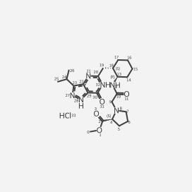 COC(=O)[C@@H]1CCCN1CC(=O)N[C@@H]1CCCC[C@H]1Cc1nc2c(C(C)C)n[nH]c2c(=O)[nH]1.Cl